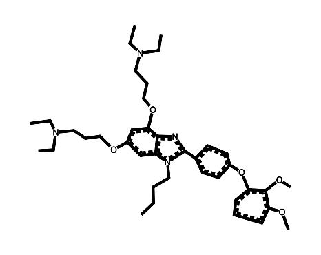 CCCCn1c(-c2ccc(Oc3cccc(OC)c3OC)cc2)nc2c(OCCCN(CC)CC)cc(OCCCN(CC)CC)cc21